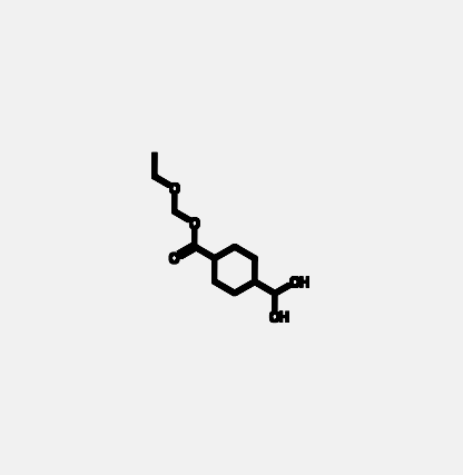 CCOCOC(=O)C1CCC(C(O)O)CC1